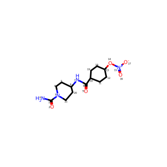 NC(=O)N1CCC(NC(=O)C2CCC(O[N+](=O)[O-])CC2)CC1